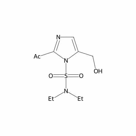 CCN(CC)S(=O)(=O)n1c(CO)cnc1C(C)=O